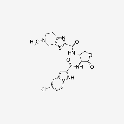 CN1CCc2nc(C(=O)N[C@@H]3COC(=O)[C@H]3NC(=O)c3cc4cc(Cl)ccc4[nH]3)sc2C1